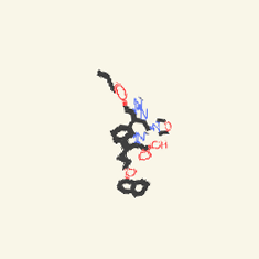 C=CCOCc1c(-c2cccc3c(CCCOc4cccc5ccccc45)c(C(=O)O)n(C)c23)c(CN2CCOCC2)nn1C